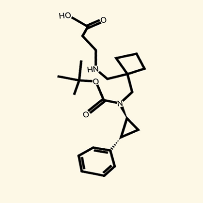 CC(C)(C)OC(=O)N(CC1(CNCCC(=O)O)CCC1)[C@H]1C[C@@H]1c1ccccc1